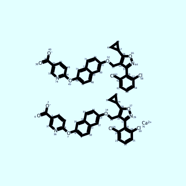 O=C([O-])c1ccc(Oc2ccc3cc(OCc4c(-c5c(Cl)cccc5Cl)noc4C4CC4)ccc3c2)nc1.O=C([O-])c1ccc(Oc2ccc3cc(OCc4c(-c5c(Cl)cccc5Cl)noc4C4CC4)ccc3c2)nc1.[Ca+2]